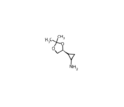 CC1(C)OC[C@H](C2CC2N)O1